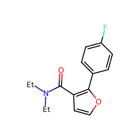 CCN(CC)C(=O)c1ccoc1-c1ccc(F)cc1